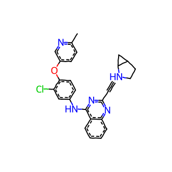 C#Cc1nc(Nc2ccc(Oc3ccc(C)nc3)c(Cl)c2)c2ccccc2n1.C1CC2CC2N1